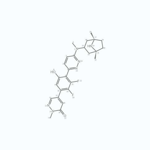 CN(c1ccc(-c2c(O)cc(-c3cnn(C)c(=O)c3)c(F)c2F)nn1)C1C[C@]2(C)CC[C@](C)(C1)N2